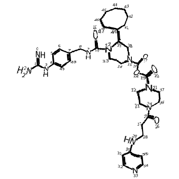 N=C(N)Nc1ccc(CNC(=O)N2CCN(C(=O)OC(=O)N3CCN(C(=O)CCNc4ccncc4)CC3)CC2=C2CCCCCCC2)cc1